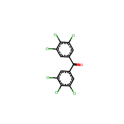 O=C(c1cc(Cl)c(Cl)c(Cl)c1)c1cc(Cl)c(Cl)c(Cl)c1